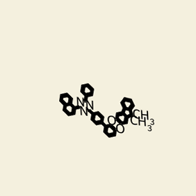 CC1(C)c2ccccc2-c2cc3c(cc21)Oc1cccc(-c2ccc(-c4nc(-c5ccccc5)nc(-c5cccc6ccccc56)n4)cc2)c1O3